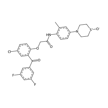 Cc1cc(N2CC[S+]([O-])CC2)ccc1NC(=O)COc1ccc(Cl)cc1C(=O)c1cc(F)cc(F)c1